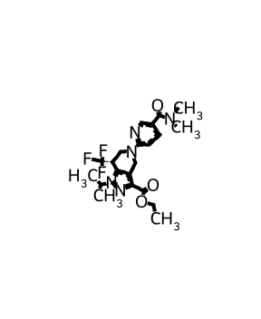 CCOC(=O)c1nn(C(C)C)c2c1CN(c1ccc(C(=O)N(C)C)cn1)C[C@H]2C(F)(F)F